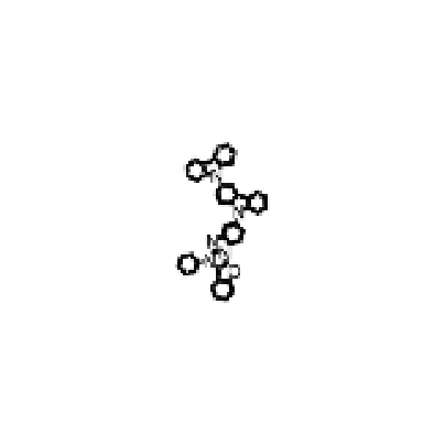 c1ccc(-n2c3c4ccccc4oc3n3c4ccc(-n5c6ccccc6c6cc(-n7c8ccccc8c8ccccc87)ccc65)cc4nc23)cc1